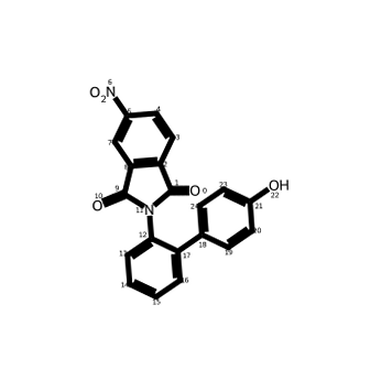 O=C1c2ccc([N+](=O)[O-])cc2C(=O)N1c1ccccc1-c1ccc(O)cc1